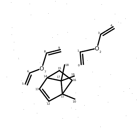 C=COC=C.C=COC=C.CC12C=CC(CC1)C2(C)C